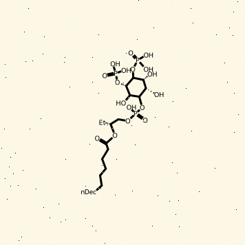 CCCCCCCCCCCCCCCC(=O)O[C@H](CC)COP(=O)(O)OC1C(O)[C@H](OP(=O)(O)O)C(OP(=O)(O)O)[C@H](O)[C@@H]1O